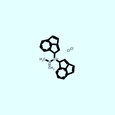 C[SiH](C)[Zr+2]([CH]1C=C2C=Cc3cccc1c32)[CH]1C=C2C=Cc3cccc1c32.[Cl-].[Cl-]